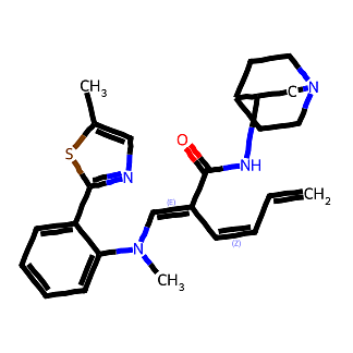 C=C/C=C\C(=C/N(C)c1ccccc1-c1ncc(C)s1)C(=O)NC1CN2CCC1CC2